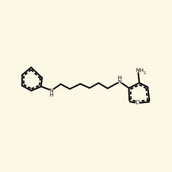 Nc1ccccc1NCCCCCCNc1ccccc1